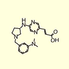 CN(C)c1cccc(CN2CC[C@@H](Nc3cnc(C=CC(=O)O)cn3)C2)c1